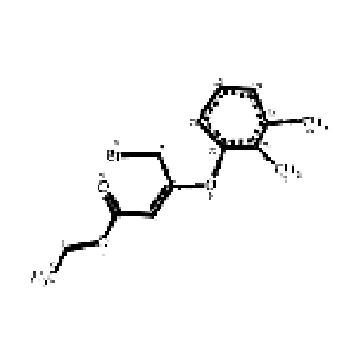 CCOC(=O)/C=C(\CBr)Oc1cccc(C)c1C